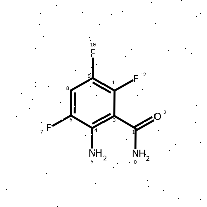 NC(=O)c1c(N)c(F)cc(F)c1F